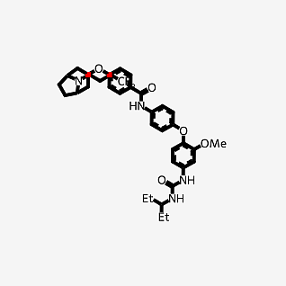 CCC(CC)NC(=O)Nc1ccc(Oc2ccc(NC(=O)c3ccc(OC4CC5CCC(C4)N5CCCC(F)(F)F)cc3)cc2)c(OC)c1